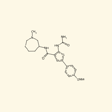 COc1ccc(-c2cc(C(=O)NC3CCCCN(C)C3)c(NC(N)=O)s2)cc1